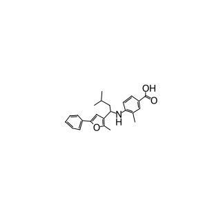 Cc1cc(C(=O)O)ccc1NC(CC(C)C)c1cc(-c2ccccc2)oc1C